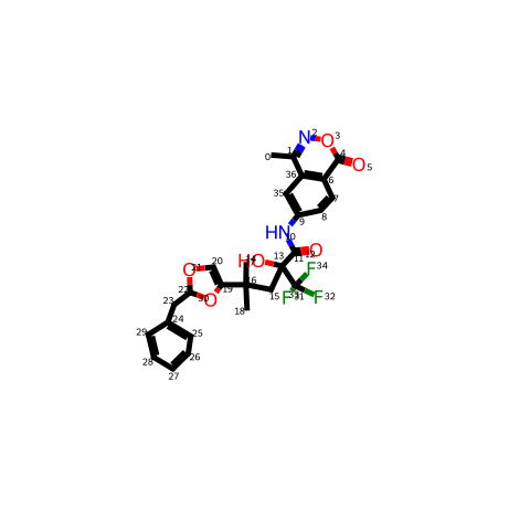 Cc1noc(=O)c2ccc(NC(=O)C(O)(CC(C)(C)C3=COC(Cc4ccccc4)O3)C(F)(F)F)cc12